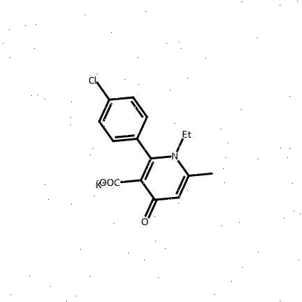 CCn1c(C)cc(=O)c(C(=O)[O-])c1-c1ccc(Cl)cc1.[K+]